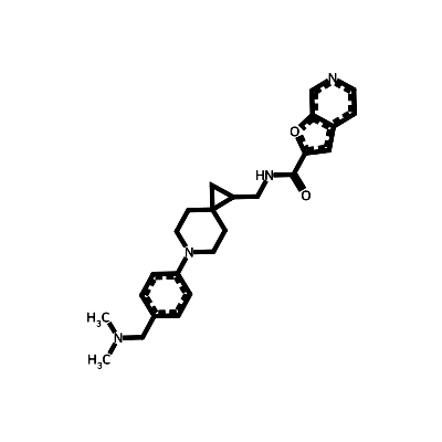 CN(C)Cc1ccc(N2CCC3(CC2)CC3CNC(=O)c2cc3ccncc3o2)cc1